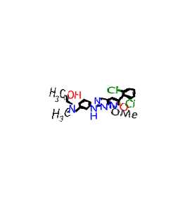 COn1c(=O)c(-c2c(Cl)cccc2Cl)cc2cnc(Nc3cccc(CN(C)CC[C@H](C)O)c3)nc21